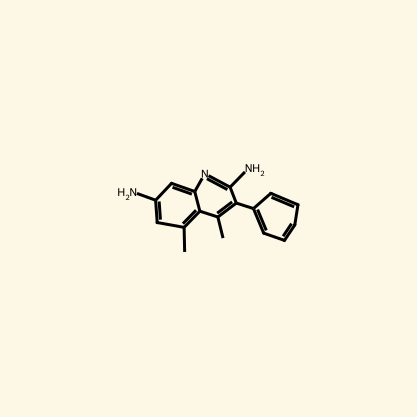 Cc1cc(N)cc2nc(N)c(-c3ccccc3)c(C)c12